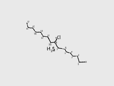 CCCCCCCCC(Cl)CCCCCCCC.S